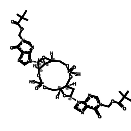 CC(C)(C)C(=O)OCn1cnc2c(ncn2[C@@H]2O[C@@H]3COP(=O)(S)O[C@H]4C[C@H](n5cnc6c(=O)n(COC(=O)C(C)(C)C)cnc65)O[C@@H]4COP(=O)(S)O[C@@H]2[C@H]3F)c1=O